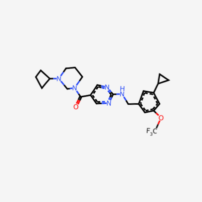 O=C(c1cnc(NCc2cc(OC(F)(F)F)cc(C3CC3)c2)nc1)N1CCCN(C2CCC2)C1